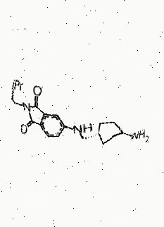 CC(C)CN1C(=O)c2ccc(NC[C@H]3CC[C@H](N)CC3)cc2C1=O